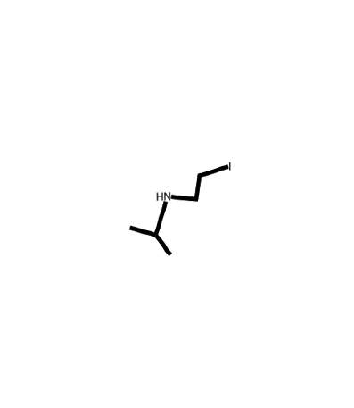 CC(C)NCCI